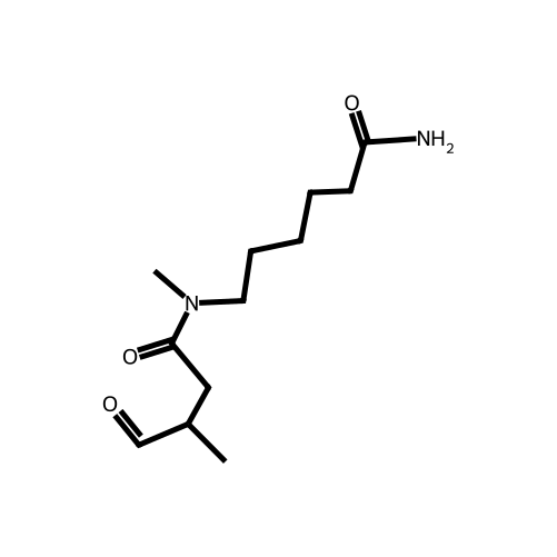 CC(C=O)CC(=O)N(C)CCCCCC(N)=O